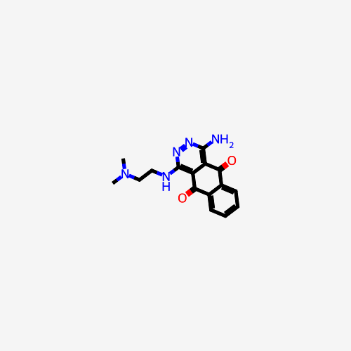 CN(C)CCNc1nnc(N)c2c1C(=O)c1ccccc1C2=O